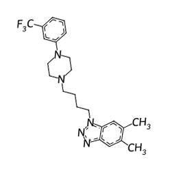 Cc1cc2nnn(CCCCN3CCN(c4cccc(C(F)(F)F)c4)CC3)c2cc1C